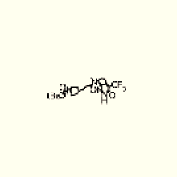 CN(C(=O)CCC1CCN(C(=O)OC(C)(C)C)CC1)C1CCc2c1n[nH]c(=O)c2C(F)(F)F